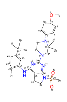 COc1ccc(N2CCN(c3nc(Nc4cc(C(C)(C)C)ccc4C)c4c(n3)N(S(C)(=O)=O)CC4)CC2(C)C)cc1